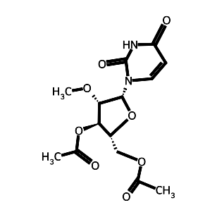 CO[C@H]1[C@H](OC(C)=O)[C@@H](COC(C)=O)O[C@H]1n1ccc(=O)[nH]c1=O